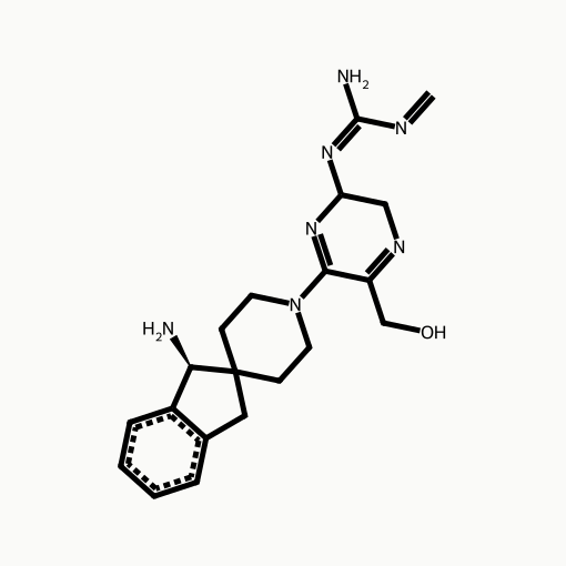 C=NC(N)=NC1CN=C(CO)C(N2CCC3(CC2)Cc2ccccc2[C@H]3N)=N1